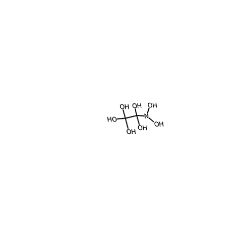 ON(O)C(O)(O)C(O)(O)O